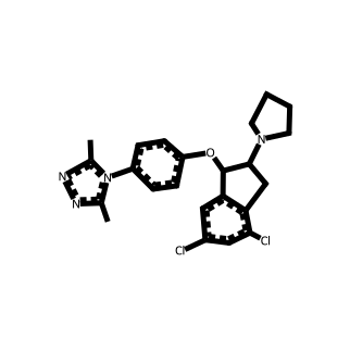 Cc1nnc(C)n1-c1ccc(OC2c3cc(Cl)cc(Cl)c3CC2N2CCCC2)cc1